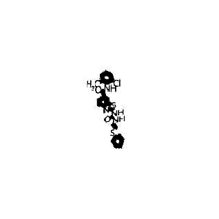 Cc1cccc(Cl)c1NC(=O)c1ccc2nc(NC(=O)NCCSc3ccccc3)sc2c1